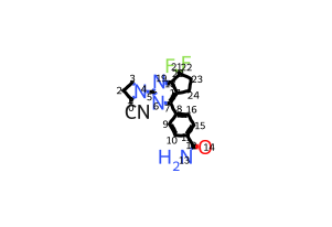 N#CC1CCN1c1nc(-c2ccc(C(N)=O)cc2)c2c(n1)C(F)(F)CC2